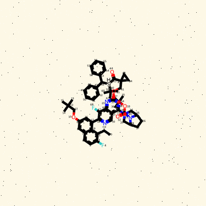 CCc1c(F)ccc2cc(OCC(C)(C)C)cc(-c3ncc4c(N5CC6CCC(C5)N6C(=O)OC(C)(C)C)nc(OCC5(C(=O)[SiH](C(c6ccccc6)c6ccccc6)C(C)(C)C)CC5)nc4c3F)c12